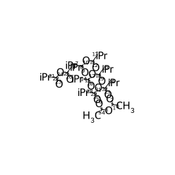 CC(=O)OC(C)=O.CC(C)C(=O)OC(=O)C(C)C.CC(C)C(=O)OC(=O)C(C)C.CC(C)C(=O)OC(=O)C(C)C.CC(C)C(=O)OC(=O)C(C)C